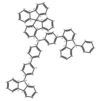 c1ccc(-n2c3ccccc3c3c(-c4ccc(N(c5ccc(-c6ccc(-n7c8ccccc8c8ccccc87)cc6)cc5)c5cccc6c5-c5ccccc5C65c6ccccc6-c6ccccc65)cc4)cccc32)cc1